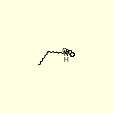 CCCCCCCC/C=C\CCCCCCCC(=O)NN1c2ccccc2CC1C